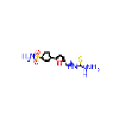 NNC(=S)N/N=C/c1ccc(-c2ccc(S(N)(=O)=O)cc2)o1